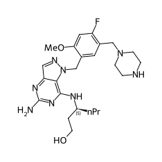 CCC[C@@H](CCO)Nc1nc(N)nc2cnn(Cc3cc(CN4CCNCC4)c(F)cc3OC)c12